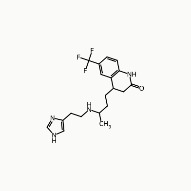 CC(CCC1CC(=O)Nc2ccc(C(F)(F)F)cc21)NCCc1c[nH]cn1